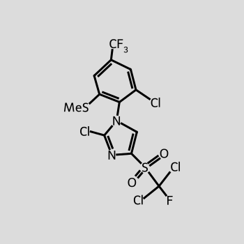 CSc1cc(C(F)(F)F)cc(Cl)c1-n1cc(S(=O)(=O)C(F)(Cl)Cl)nc1Cl